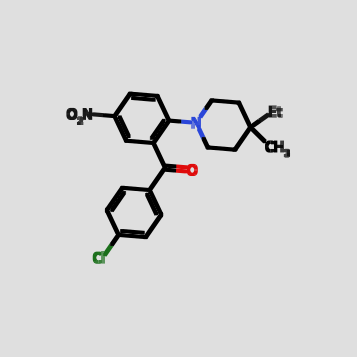 CCC1(C)CCN(c2ccc([N+](=O)[O-])cc2C(=O)c2ccc(Cl)cc2)CC1